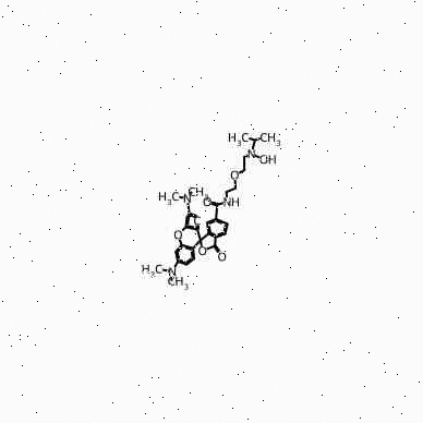 CC(C)N(O)CCOCCNC(=O)c1ccc2c(c1)C1(OC2=O)c2ccc(N(C)C)cc2Oc2cc(N(C)C)ccc21